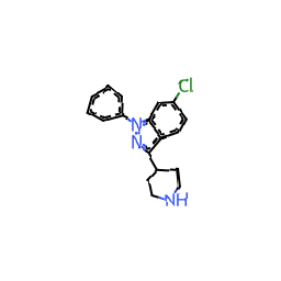 Clc1ccc2c(C3CCNCC3)nn(-c3ccccc3)c2c1